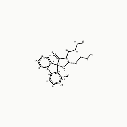 CCCCCOC1(C(=O)CCCCC)c2ccccc2-c2cccc(C)c21